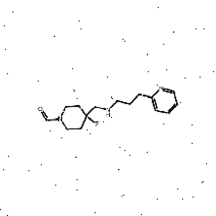 O=CN1CCC(F)(CNCCCc2ccccn2)CC1